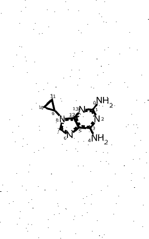 Nc1nc(N)c2ncn(C3CC3)c2n1